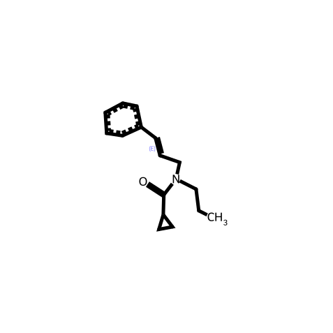 CCCN(C/C=C/c1ccccc1)C(=O)C1CC1